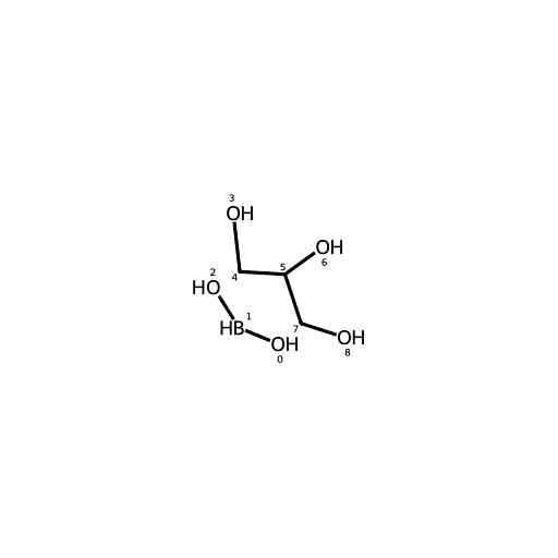 OBO.OCC(O)CO